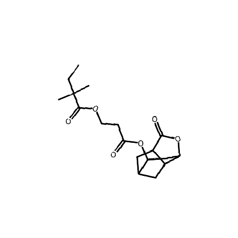 CCC(C)(C)C(=O)OCCC(=O)OC1C2CC3C(=O)OC1C3C2